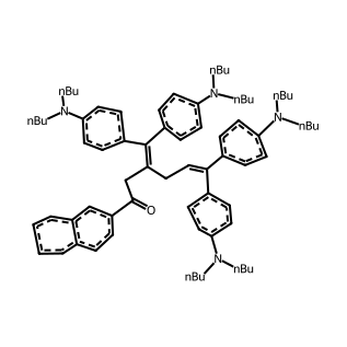 CCCCN(CCCC)c1ccc(C(=CCC(CC(=O)c2ccc3ccccc3c2)=C(c2ccc(N(CCCC)CCCC)cc2)c2ccc(N(CCCC)CCCC)cc2)c2ccc(N(CCCC)CCCC)cc2)cc1